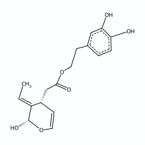 C/C=C1\[C@H](CC(=O)OCCc2ccc(O)c(O)c2)C=CO[C@@H]1O